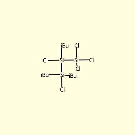 CCC(C)[Si](Cl)(C(C)CC)[Si](Cl)(C(C)CC)[Si](Cl)(Cl)Cl